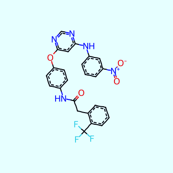 O=C(Cc1ccccc1C(F)(F)F)Nc1ccc(Oc2cc(Nc3cccc([N+](=O)[O-])c3)ncn2)cc1